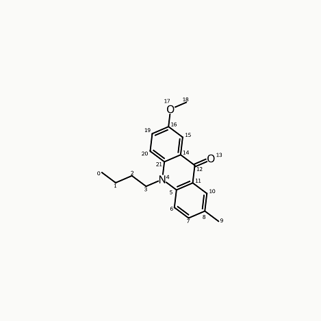 CCCCn1c2ccc(C)cc2c(=O)c2cc(OC)ccc21